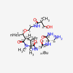 CCCCCC[C@@H](OCCNC(=O)[C@@H](C)CO)[C@@H](C)C(=O)N(C)[C@@](C)(CC(C)C)C(=O)N[C@H](C(=O)N[C@@H](CN)C(N)=O)[C@H](C)CC